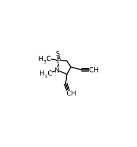 C#CC1CP(C)(=S)N(C)C1C#C